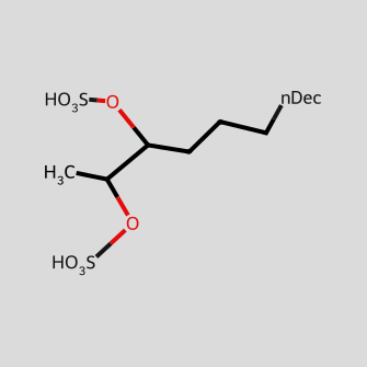 CCCCCCCCCCCCCC(OS(=O)(=O)O)C(C)OS(=O)(=O)O